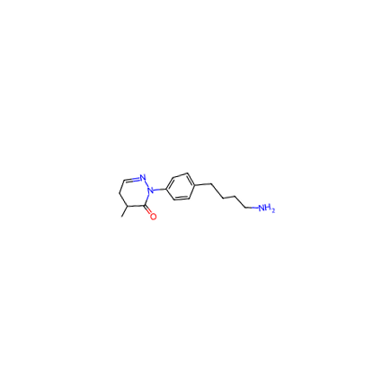 CC1CC=NN(c2ccc(CCCCN)cc2)C1=O